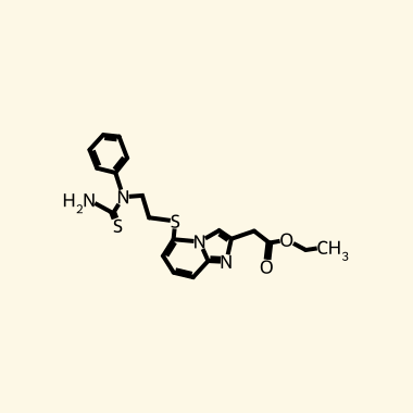 CCOC(=O)Cc1cn2c(SCCN(C(N)=S)c3ccccc3)cccc2n1